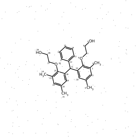 Cc1cc(C)c(OCCO)c(C(c2ccccc2)c2cc(C)cc(C)c2OCCO)c1